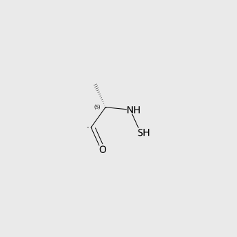 C[C@@H]([C]=O)NS